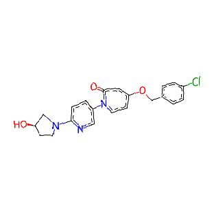 O=c1cc(OCc2ccc(Cl)cc2)ccn1-c1ccc(N2CC[C@@H](O)C2)nc1